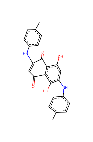 Cc1ccc(NC2=CC(=O)c3c(O)c(Nc4ccc(C)cc4)cc(O)c3C2=O)cc1